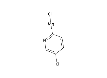 [Cl][Mg][c]1ccc(Cl)cn1